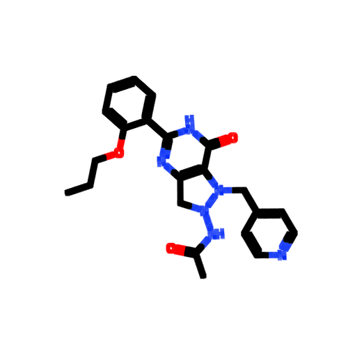 CCCOc1ccccc1-c1nc2c(c(=O)[nH]1)N(Cc1ccncc1)N(NC(C)=O)C2